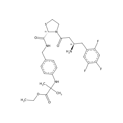 CCOC(=O)C(C)(C)Nc1ccc(CNC(=O)[C@@H]2SCCN2C(=O)C[C@H](N)Cc2cc(F)c(F)cc2F)cc1